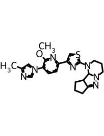 COc1nc(-c2csc(N3CCCN4N=C5CCCC5C43)n2)ccc1-n1cnc(C)c1